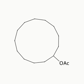 CC(=O)OC1CCCCCCCCCCCC1